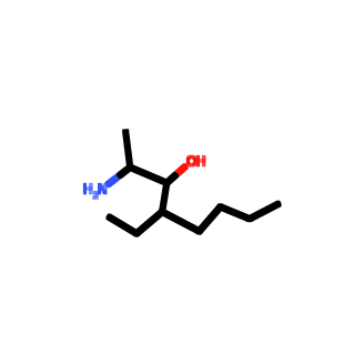 CCCCC(CC)C(O)C(C)N